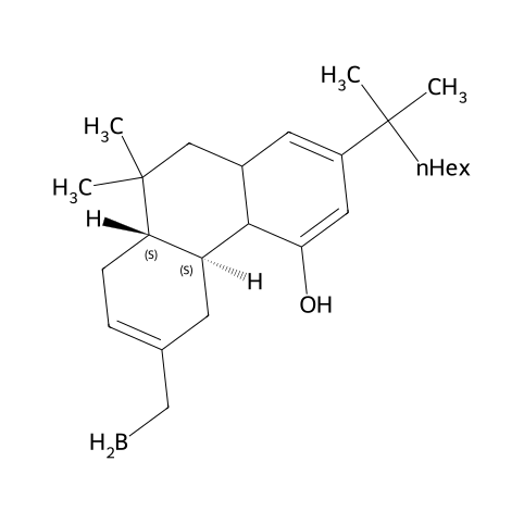 BCC1=CC[C@H]2[C@H](C1)C1C(O)=CC(C(C)(C)CCCCCC)=CC1CC2(C)C